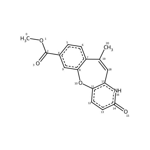 COC(=O)c1ccc2c(c1)Oc1ccc(=O)[nH]c1C=C2C